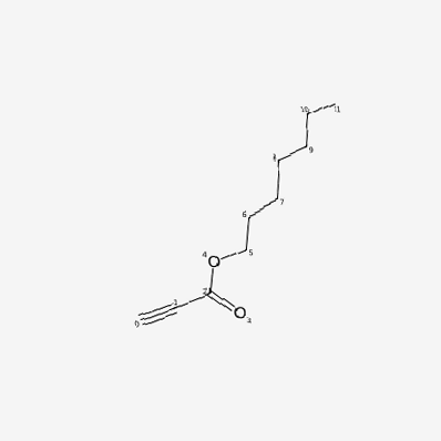 C#CC(=O)OCCCCCCC